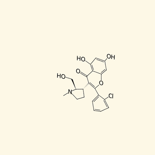 CN1CC[C@@H](c2c(-c3ccccc3Cl)oc3cc(O)cc(O)c3c2=O)[C@@H]1CO